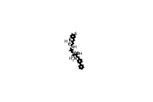 CC(C)(CNC(=O)CC(N)Cc1cc(F)ccc1F)CNC(=O)C(O)C(N)Cc1ccc(-c2ccccc2)cc1